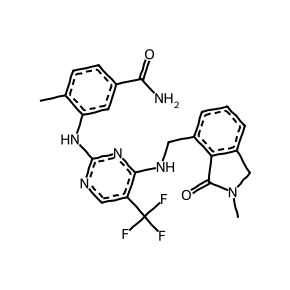 Cc1ccc(C(N)=O)cc1Nc1ncc(C(F)(F)F)c(NCc2cccc3c2C(=O)N(C)C3)n1